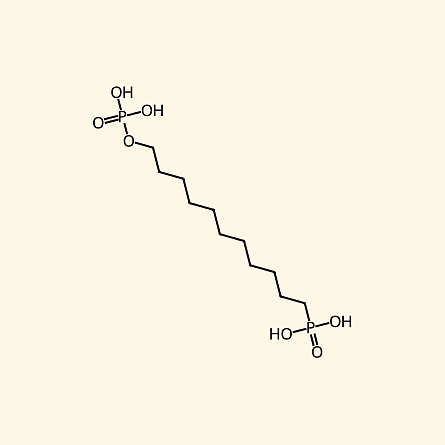 O=P(O)(O)CCCCCCCCCCCOP(=O)(O)O